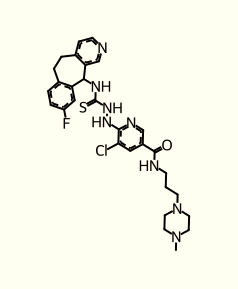 CN1CCN(CCCNC(=O)c2cnc(NNC(=S)NC3c4cnccc4CCc4ccc(F)cc43)c(Cl)c2)CC1